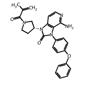 C=C(C)C(=O)N1CC[C@@H](n2c(=O)n(-c3ccc(Oc4ccccc4)cc3)c3c(N)nccc32)C1